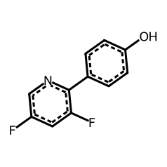 Oc1ccc(-c2ncc(F)cc2F)cc1